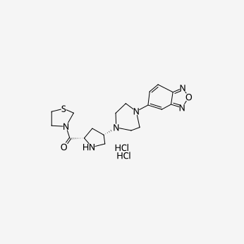 Cl.Cl.O=C([C@@H]1C[C@H](N2CCN(c3ccc4nonc4c3)CC2)CN1)N1CCSC1